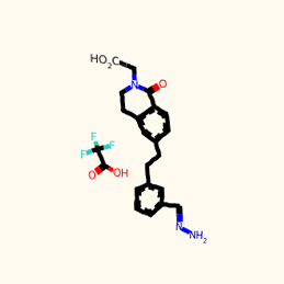 NN=Cc1cccc(CCc2ccc3c(c2)CCN(CC(=O)O)C3=O)c1.O=C(O)C(F)(F)F